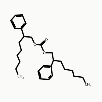 CCCCCCC(COC(=O)OCC(CCCCCC)c1ccccc1)c1ccccc1